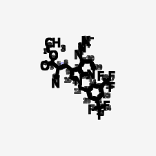 CCOC(=O)/C(C#N)=C/c1cn(Cc2cc(C(F)(F)F)cc(C(F)(F)F)c2)c2nccc(N=[N+]=[N-])c12